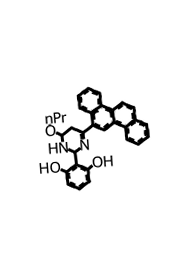 CCCOC1CC(c2cc3c4ccccc4ccc3c3ccccc23)=NC(c2c(O)cccc2O)N1